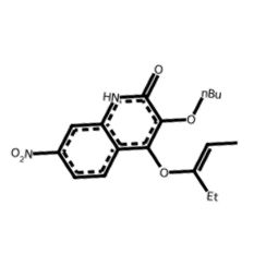 CC=C(CC)Oc1c(OCCCC)c(=O)[nH]c2cc([N+](=O)[O-])ccc12